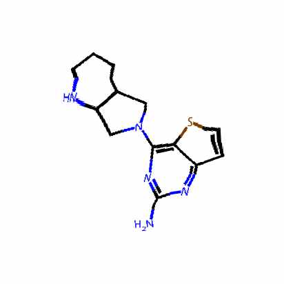 Nc1nc(N2CC3CCCNC3C2)c2sccc2n1